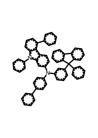 c1ccc(-c2ccc(N(c3cccc(C4(c5ccccc5)c5ccccc5-c5ccccc54)c3)c3ccc4c5c(-c6ccccc6)cccc5n(-c5ccccc5)c4c3)cc2)cc1